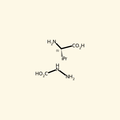 CC(C)[C@H](N)C(=O)O.NNC(=O)O